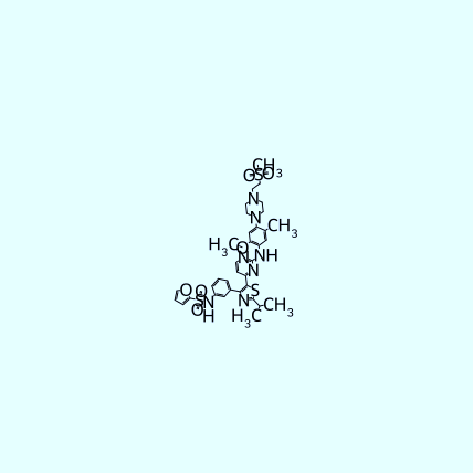 COc1cc(N2CCN(CCS(C)(=O)=O)CC2)c(C)cc1Nc1nccc(-c2sc(C(C)C)nc2-c2cccc(NS(=O)(=O)c3ccco3)c2)n1